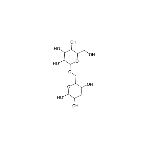 OCC1OC(OCC2OC(O)C(O)CC2O)C(O)C(O)C1O